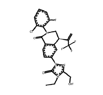 C=C([C@@H]1CN(c2c(F)cccc2Cl)C(=O)c2ccc(-n3nc(CO)n(CC)c3=O)cc21)C(F)(F)F